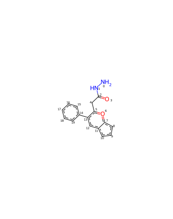 NNC(=O)Cc1oc2cccc-2cc1-c1ccccc1